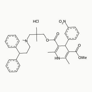 COC(=O)C1=C(C)NC(C)=C(C(=O)OCC(C)(C)CN(C)CCC(c2ccccc2)c2ccccc2)C1c1cccc([N+](=O)[O-])c1.Cl